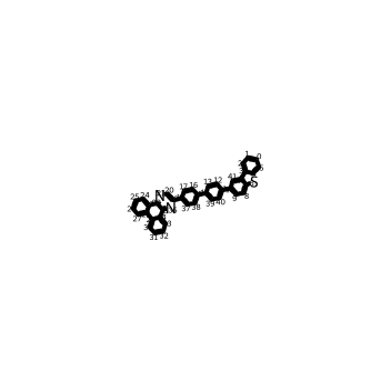 c1ccc2c(c1)sc1ccc(-c3ccc(-c4ccc(-c5cnc6c7ccccc7c7ccccc7c6n5)cc4)cc3)cc12